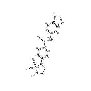 CN1CCN(c2ccc(C(=O)Nc3ccc4occc4c3)cc2)S1(=O)=O